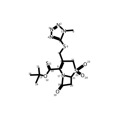 Cn1nnnc1SCC1=C(C(=S)OC(C)(C)C)N2C(=O)CC2S(=O)(=O)C1